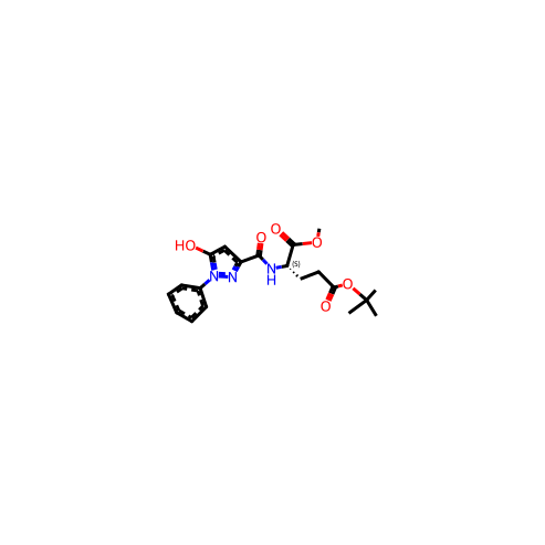 COC(=O)[C@H](CCC(=O)OC(C)(C)C)NC(=O)c1cc(O)n(-c2ccccc2)n1